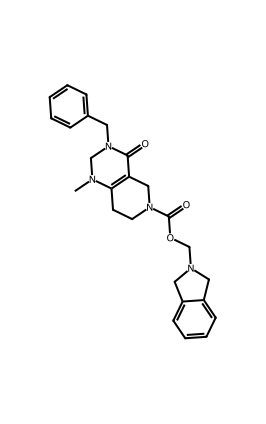 CN1CN(Cc2ccccc2)C(=O)C2=C1CCN(C(=O)OCN1Cc3ccccc3C1)C2